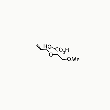 C=CCOCCOC.O=C(O)O